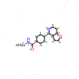 CCCCCCNC(=O)c1ccc(-c2nccc3occc23)cc1